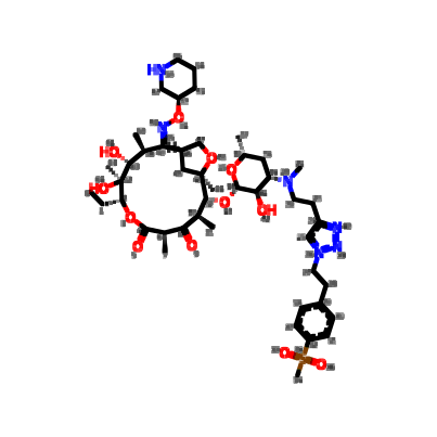 CC[C@H]1OC(=O)[C@H](C)C(=O)[C@H](C)[C@@H](O[C@@H]2O[C@H](C)C[C@H](N(C)CCc3cn(CCc4ccc(S(C)(=O)=O)cc4)nn3)[C@H]2O)[C@@]2(C)C[C@@H](CO2)/C(=N\O[C@@H]2CCCNC2)[C@H](C)[C@@H](O)[C@]1(C)O